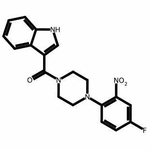 O=C(c1c[nH]c2ccccc12)N1CCN(c2ccc(F)cc2[N+](=O)[O-])CC1